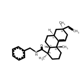 C=C[C@@]1(C)CC=C2[C@@H](CC[C@@H]3[C@](C)(C(=O)NCc4ccccc4)CCC[C@@]23C)C1